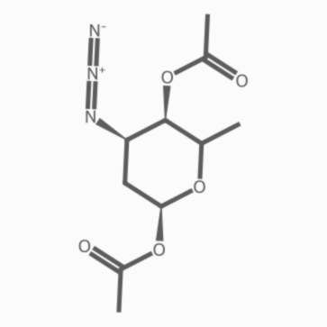 CC(=O)O[C@H]1C[C@@H](N=[N+]=[N-])[C@@H](OC(C)=O)C(C)O1